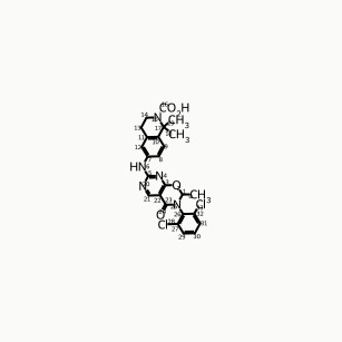 CC1Oc2nc(Nc3ccc4c(c3)CCN(C(=O)O)C4(C)C)ncc2C(=O)N1c1c(Cl)cccc1Cl